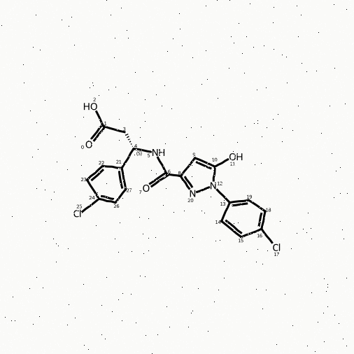 O=C(O)C[C@H](NC(=O)c1cc(O)n(-c2ccc(Cl)cc2)n1)c1ccc(Cl)cc1